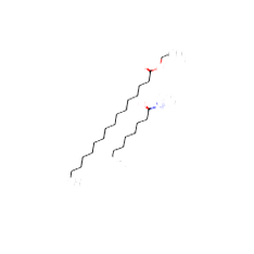 CCCCCCCC(=O)NC.CCCCCCCCCCCCCCCC(=O)OCC